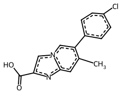 Cc1cc2nc(C(=O)O)cn2cc1-c1ccc(Cl)cc1